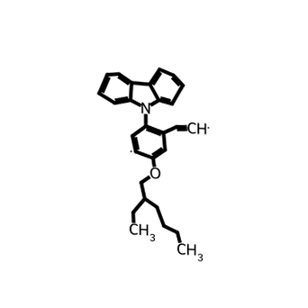 [CH]=Cc1cc(OCC(CC)CCCC)[c]cc1-n1c2ccccc2c2ccccc21